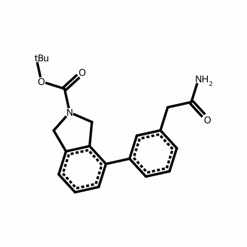 CC(C)(C)OC(=O)N1Cc2cccc(-c3cccc(CC(N)=O)c3)c2C1